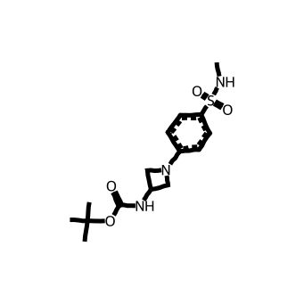 CNS(=O)(=O)c1ccc(N2CC(NC(=O)OC(C)(C)C)C2)cc1